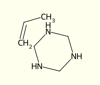 C1NCNCN1.C=CC